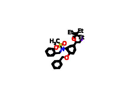 CC[Si](CC)(CC)OC(CI)c1ccc(OCc2ccccc2)c(N(Cc2ccccc2)S(C)(=O)=O)c1